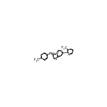 FC(F)(F)c1ccc(Nc2cnc3cc(-c4ncccc4C(F)(F)F)ccn23)cc1